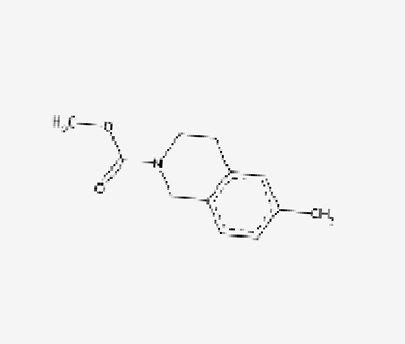 COC(=O)N1CCc2cc(C)ccc2C1